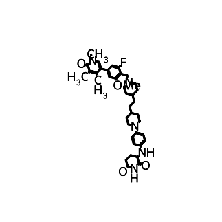 COc1cc(-c2cn(C)c(=O)c(C)c2C)cc(F)c1CN1CCC(CCC2CCN(c3ccc(NC4CCC(=O)NC4=O)cc3)CC2)CC1